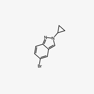 Brc1ccc2nn(C3CC3)cc2c1